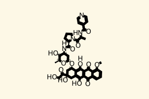 COc1cccc2c1C(=O)c1c(O)c3c(c(O)c1C2=O)C[C@@](O)(C(=O)CO)C[C@@H]3O[C@H]1C[C@H](NC(=O)[C@H]2CCCN2C(=O)C(C)NC(=O)c2ccncc2)[C@@H](O)[C@H](C)O1